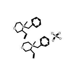 C=CC1COCC[N+]1(C)Cc1ccccc1.C=CC1COCC[N+]1(C)Cc1ccccc1.O=S(=O)([O-])[O-]